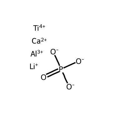 O=P([O-])([O-])[O-].[Al+3].[Ca+2].[Li+].[Ti+4]